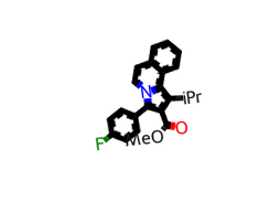 COC(=O)c1c(C(C)C)c2c3ccccc3ccn2c1-c1ccc(F)cc1